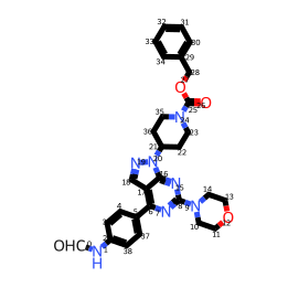 O=CNc1ccc(-c2nc(N3CCOCC3)nc3c2cnn3C2CCN(C(=O)OCc3ccccc3)CC2)cc1